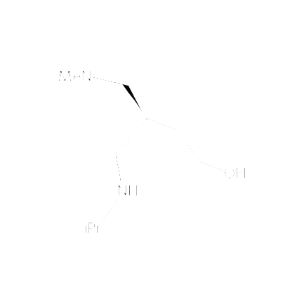 CNC[C@@H](CCO)CNC(C)C